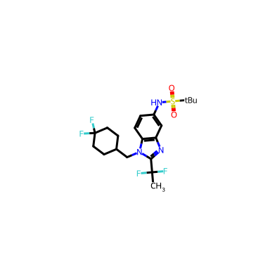 CC(F)(F)c1nc2cc(NS(=O)(=O)C(C)(C)C)ccc2n1CC1CCC(F)(F)CC1